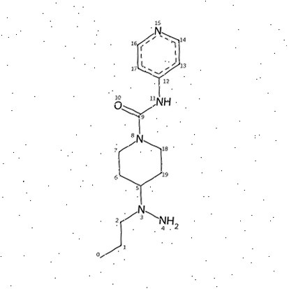 CCCN(N)C1CCN(C(=O)Nc2ccncc2)CC1